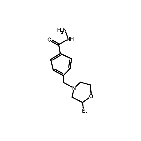 CCC1CN(Cc2ccc(C(=O)NN)cc2)CCO1